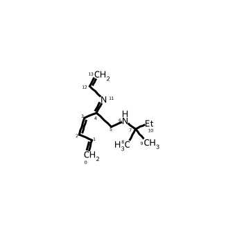 C=C/C=C\C(CNC(C)(C)CC)=N/C=C